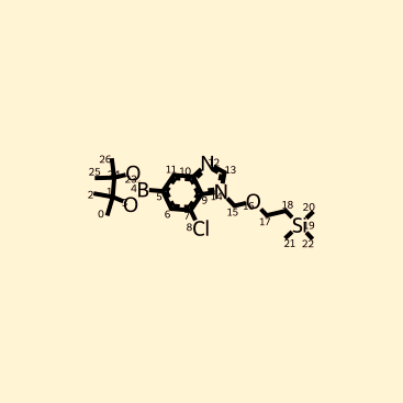 CC1(C)OB(c2cc(Cl)c3c(c2)ncn3COCC[Si](C)(C)C)OC1(C)C